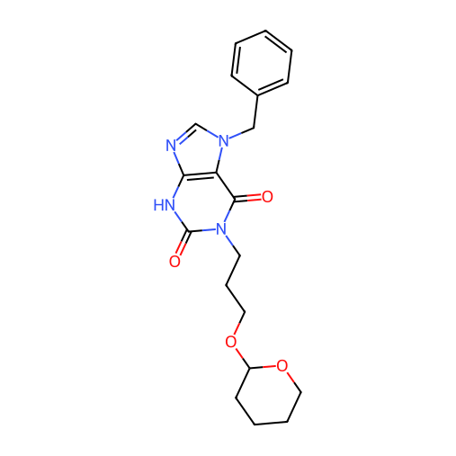 O=c1[nH]c2ncn(Cc3ccccc3)c2c(=O)n1CCCOC1CCCCO1